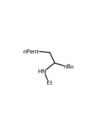 CCCCCCC(CCCC)NCC